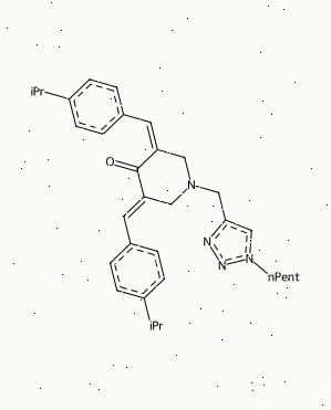 CCCCCn1cc(CN2C/C(=C/c3ccc(C(C)C)cc3)C(=O)/C(=C/c3ccc(C(C)C)cc3)C2)nn1